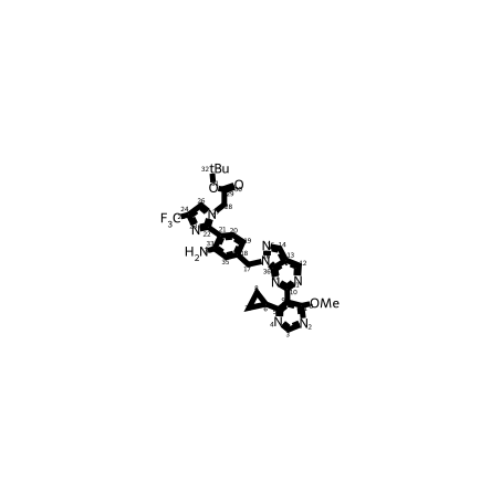 COc1ncnc(C2CC2)c1-c1ncc2cnn(Cc3ccc(-c4nc(C(F)(F)F)cn4CC(=O)OC(C)(C)C)c(N)c3)c2n1